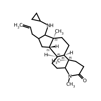 C=CCC1C[C@H]2[C@@H]3CCC4N(C)C(=O)CC[C@]4(C)[C@@H]3CC[C@]2(C)C1NC1CC1